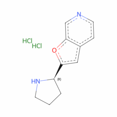 Cl.Cl.c1cc2cc([C@H]3CCCN3)oc2cn1